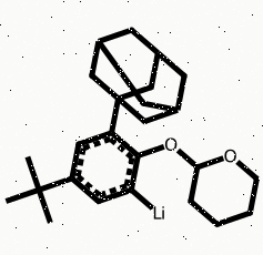 [Li][c]1cc(C(C)(C)C)cc(C23CC4CC(CC(C4)C2)C3)c1OC1CCCCO1